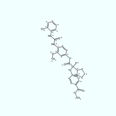 COC(=O)c1ccc(OC(F)(C(=O)Cc2ccc(NC(=O)Nc3ccccc3Cl)c(OC)c2)C2CCCN2)cc1